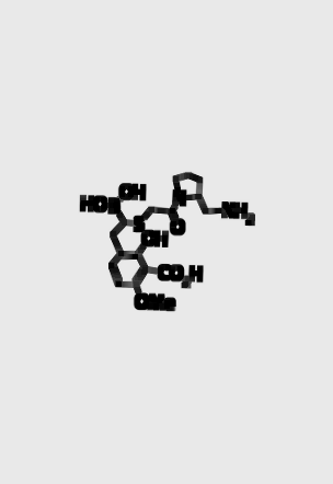 COc1ccc(CC(SCC(=O)N2CCCC2CN)B(O)O)c(O)c1C(=O)O